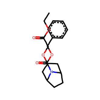 CCOC(=O)COC1CC2CCC(C1)N2C(=O)OCc1ccccc1